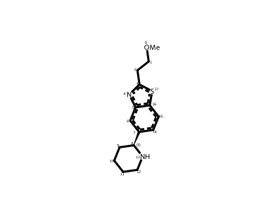 COCCc1nc2cc([C@@H]3CCCCN3)ccc2s1